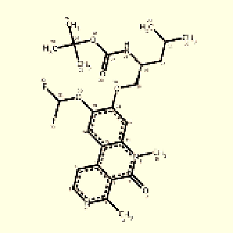 Cc1nccc2c1c(=O)n(C)c1cc(OC[C@H](CC(C)C)NC(=O)OC(C)(C)C)c(OC(F)F)cc21